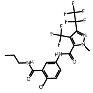 CCCNC(=O)c1cc(NC(=O)c2c(C(F)(F)F)c(C(F)(F)C(F)(F)F)nn2C)ccc1Cl